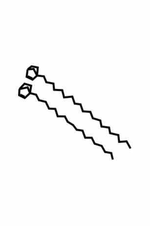 CCCCCCCCCCCCCCCCCCC12C=CC(CC1)C2.CCCCCCCCCCCCCCCCCCCCC12C=CC(CC1)C2